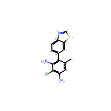 Cc1cc(N)c(Cl)c(N)c1-c1ccc2ncsc2c1